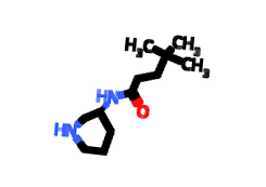 CC(C)(C)CCC(=O)N[C@H]1CCCNC1